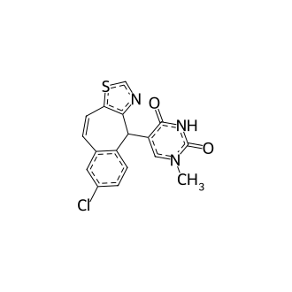 Cn1cc(C2c3ccc(Cl)cc3C=Cc3scnc32)c(=O)[nH]c1=O